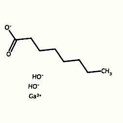 CCCCCCCC(=O)[O-].[Ga+3].[OH-].[OH-]